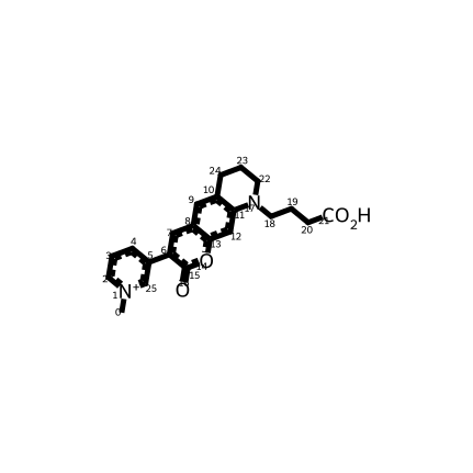 C[n+]1cccc(-c2cc3cc4c(cc3oc2=O)N(CCCC(=O)O)CCC4)c1